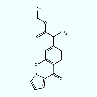 CCOC(=O)C(C)c1ccc(C(=O)c2cccs2)c(Cl)c1